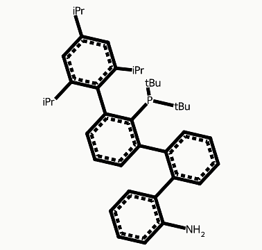 CC(C)c1cc(C(C)C)c(-c2cccc(-c3ccccc3-c3ccccc3N)c2P(C(C)(C)C)C(C)(C)C)c(C(C)C)c1